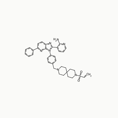 C=CS(=O)(=O)N1CCC2(CCN(Cc3ccc(-n4c(-c5cccnc5N)nc5ccc(-c6ccccc6)nc54)cc3)CC2)CC1